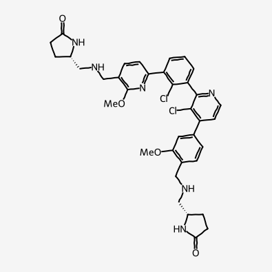 COc1cc(-c2ccnc(-c3cccc(-c4ccc(CNC[C@@H]5CCC(=O)N5)c(OC)n4)c3Cl)c2Cl)ccc1CNC[C@@H]1CCC(=O)N1